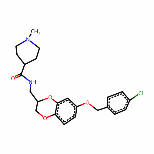 CN1CCC(C(=O)NCC2COc3ccc(OCc4ccc(Cl)cc4)cc3O2)CC1